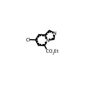 CCOC(=O)c1cc(Cl)cc2cncn12